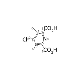 Cc1c(C(=O)O)nc(C(=O)O)c(C)c1Cl